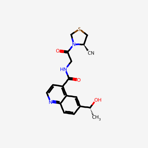 C[C@@H](O)c1ccc2nccc(C(=O)NCC(=O)N3CSC[C@H]3C#N)c2c1